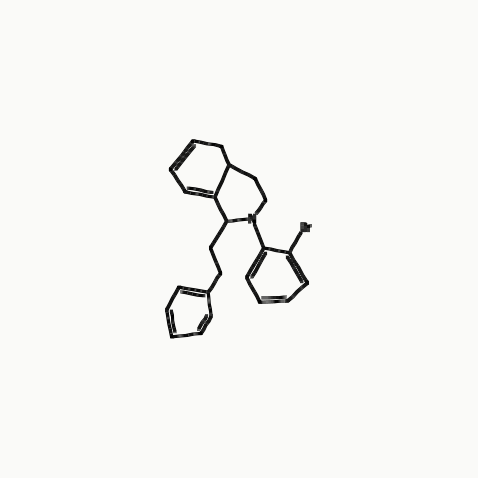 Brc1ccccc1N1CCC2CC=CC=C2C1CCc1ccccc1